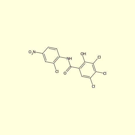 O=C(Nc1ccc([N+](=O)[O-])cc1Cl)c1cc(Cl)c(Cl)c(Cl)c1O